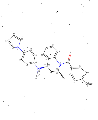 COc1ccc(C(=O)N2c3ccccc3[C@H](N(C(C)=O)c3ccc(-n4cccc4)cc3)C[C@@H]2C)cc1